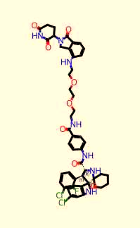 O=C1CCC(N2Cc3c(NCCOCCOCCNC(=O)c4ccc(NC(=O)[C@@H]5NC6(CCCCC6)[C@@]6(C(=O)Nc7cc(Cl)ccc76)[C@H]5c5cccc(Cl)c5F)cc4)cccc3C2=O)C(=O)N1